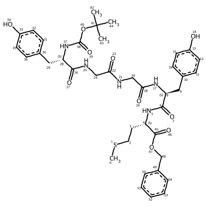 CSCC[C@H](NC(=O)[C@H](Cc1ccc(O)cc1)NC(=O)CNC(=O)CNC(=O)[C@H](Cc1ccc(O)cc1)NC(=O)OC(C)(C)C)C(=O)OCc1ccccc1